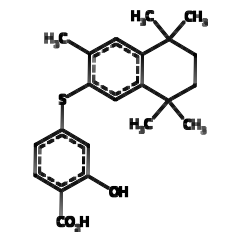 Cc1cc2c(cc1Sc1ccc(C(=O)O)c(O)c1)C(C)(C)CCC2(C)C